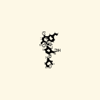 CCc1ccc2c(c1)C(=O)CC(C)N2S(=O)(=O)c1ccc(OCC2CCOCC2)c(CO)c1